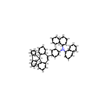 C1=C(c2ccc(N(c3cccc4ccccc34)c3cccc4ccccc34)cc2)c2ccccc2C2(c3ccccc31)c1ccccc1-c1ccccc12